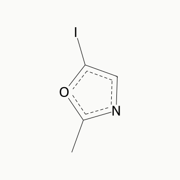 Cc1ncc(I)o1